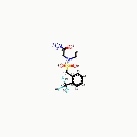 CCN(CC(N)=O)S(=O)(=O)Cc1ccccc1C(F)(F)F